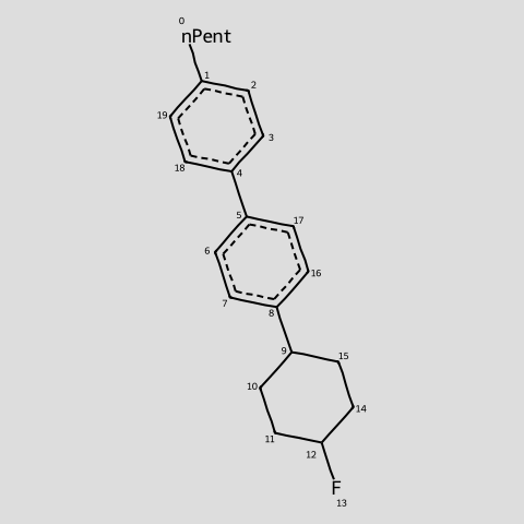 CCCCCc1ccc(-c2ccc(C3CCC(F)CC3)cc2)cc1